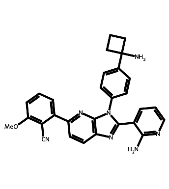 COc1cccc(-c2ccc3nc(-c4cccnc4N)n(-c4ccc(C5(N)CCC5)cc4)c3n2)c1C#N